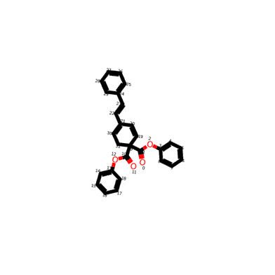 O=C(Oc1ccccc1)C1(C(=O)Oc2ccccc2)C=CC(C=Cc2ccccc2)=CC1